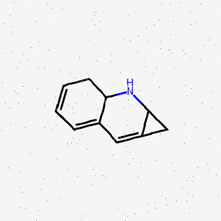 C1=CCC2NC3CC3=CC2=C1